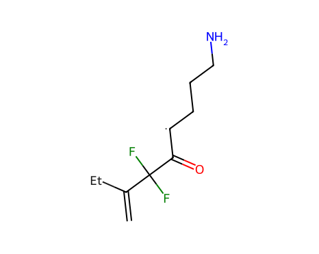 C=C(CC)C(F)(F)C(=O)[CH]CCCN